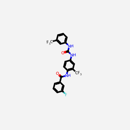 O=C(Nc1cccc(C(F)(F)F)c1)Nc1ccc(NC(=O)c2cccc(F)c2)c(C(F)(F)F)c1